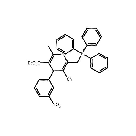 CCOC(=O)C1=C(C)NC(C[PH](c2ccccc2)(c2ccccc2)c2ccccc2)=C(C#N)C1c1cccc([N+](=O)[O-])c1